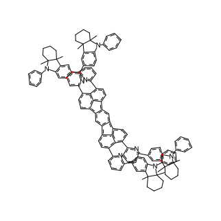 CC12CCCCC1(C)N(c1ccccc1)c1ccc(-c3cccc(-c4ccc5c6cc7c(cc6c6ccc(-c8cccc(-c9ccc%10c(c9)C9(C)CCCCC9(C)N%10c9ccccc9)n8)c4c56)c4ccc(-c5cccc(-c6ccc8c(c6)C6(C)CCCCC6(C)N8c6ccccc6)n5)c5c(-c6cccc(-c8ccc9c(c8)C8(C)CCCCC8(C)N9c8ccccc8)n6)ccc7c54)n3)cc12